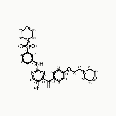 O=S(=O)(c1cccc(Nc2ncc(F)c(Nc3ccc(OCCN4CCOCC4)cc3)n2)c1)N1CCOCC1